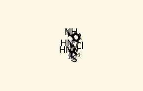 NCc1cccc(Cl)c1Nc1nc2cscc2[nH]1